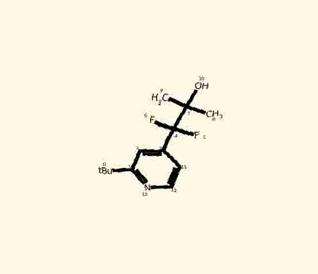 CC(C)(C)c1cc(C(F)(F)C(C)(C)O)ccn1